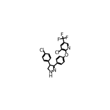 FC(F)(F)c1cnc(Oc2ccc(C3=NNCC3c3ccc(Cl)cc3)cc2)c(Cl)c1